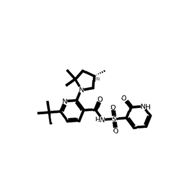 C[C@@H]1CN(c2nc(C(C)(C)C)ccc2C(=O)NS(=O)(=O)c2ccc[nH]c2=O)C(C)(C)C1